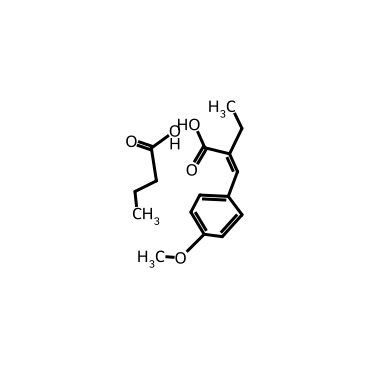 CC/C(=C/c1ccc(OC)cc1)C(=O)O.CCCC(=O)O